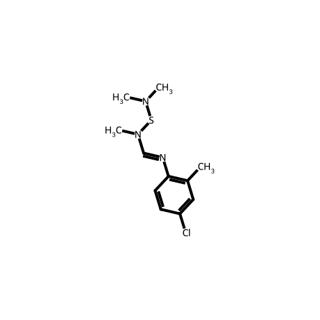 Cc1cc(Cl)ccc1N=CN(C)SN(C)C